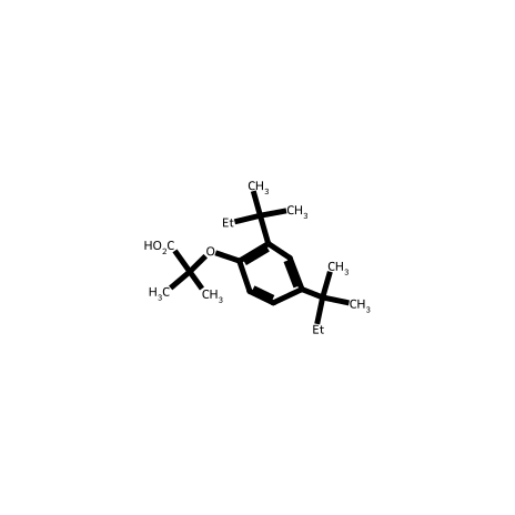 CCC(C)(C)c1ccc(OC(C)(C)C(=O)O)c(C(C)(C)CC)c1